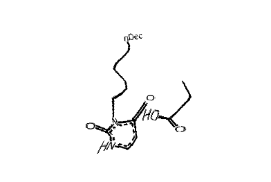 CCC(=O)O.CCCCCCCCCCCCCCn1c(=O)cc[nH]c1=O